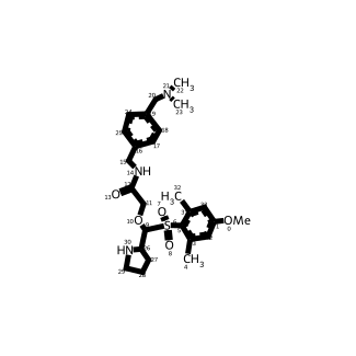 COc1cc(C)c(S(=O)(=O)C(OCC(=O)NCc2ccc(CN(C)C)cc2)C2CCCN2)c(C)c1